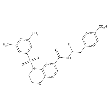 Cc1cc(C)cc(S(=O)(=O)N2CCOc3ccc(C(=O)NC(F)Cc4ccc(C(=O)O)cc4)cc32)c1